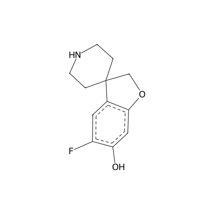 Oc1cc2c(cc1F)C1(CCNCC1)CO2